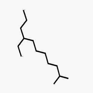 [CH2]CCC(C[CH2])CCCCCC(C)C